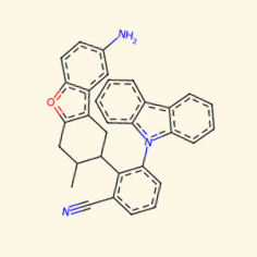 CC1Cc2oc3ccc(N)cc3c2CC1c1c(C#N)cccc1-n1c2ccccc2c2ccccc21